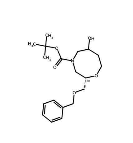 CC(C)(C)OC(=O)N1CC(O)CCO[C@H](COCc2ccccc2)C1